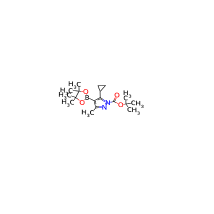 Cc1nn(C(=O)OC(C)(C)C)c(C2CC2)c1B1OC(C)(C)C(C)(C)O1